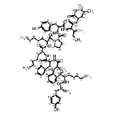 CCC(C)C(NC(=O)C(Cc1ccc(O)cc1)NC(=O)C1CCCN1C(=O)C(CCCCN)NC(=O)C(CCCCN)NC(=O)C(Cc1ccccc1)NC(=O)C(C)Nc1ccccc1C(=O)[C@@H](CCCCN)NC(=O)C(N)Cc1ccc(O)cc1)C(=O)NC(CC(C)C)C(=O)O